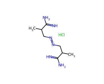 CC(C/N=N/CC(C)C(=N)N)C(=N)N.Cl